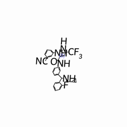 N#Cc1cccc(N/C(=C\C(=N)C(F)(F)F)C(=O)Nc2cccc(C(NCC3CC3)c3ccccc3F)c2)c1